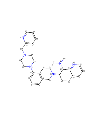 CN(C[C@H]1Cc2c(cccc2N2CCN(Cc3ccccn3)CC2)CN1)[C@H]1CCCc2cccnc21